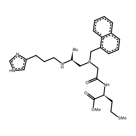 CC[C@H](C)[C@@H](CN(CC(=O)N[C@@H](CCSC)C(=O)OC)Cc1cccc2ccccc12)NCCCc1c[nH]cn1